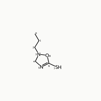 CCCN1CN=C(S)O1